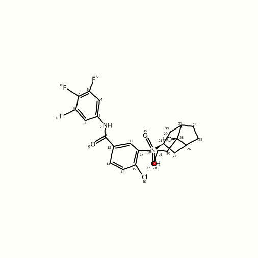 O=C(Nc1cc(F)c(F)c(F)c1)c1ccc(Cl)c(S(=O)(=O)[C@H]2CC3CCC(C2)[C@]3(O)CCO)c1